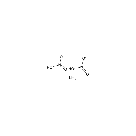 N.O=[N+]([O-])O.O=[N+]([O-])O